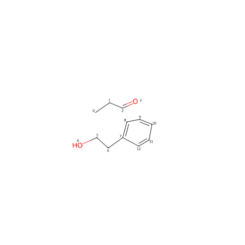 CCC=O.OCCc1ccccc1